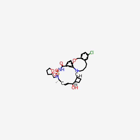 C[C@H]1C/C=C/C(O)[C@@H]2CC[C@H]2CN2CCCCc3cc(Cl)ccc3COc3ccc(cc32)C(=O)NS(=O)(=O)N1C[C@H]1CCCO1